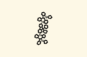 c1ccc(-n2c3c(c4ccccc42)-c2ccccc2N(c2ccc4c(c2)C(c2ccccc2)(c2ccccc2)c2cc(N5c6ccccc6-c6c(n(-c7ccccc7)c7ccccc67)-c6ccccc65)ccc2-4)c2ccccc2-3)cc1